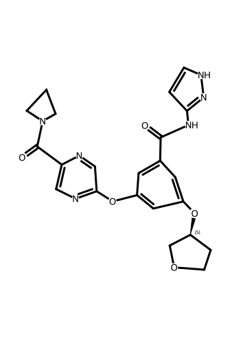 O=C(Nc1cc[nH]n1)c1cc(Oc2cnc(C(=O)N3CCC3)cn2)cc(O[C@H]2CCOC2)c1